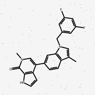 Cc1cn(Cc2cc(F)cc(F)c2)c2cc(-c3cn(C)c(=O)c4[nH]ccc34)ccc12